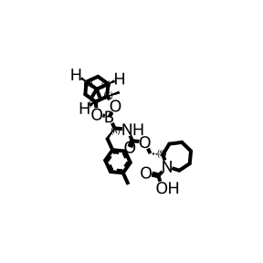 Cc1ccc(C[C@H](NC(=O)OC[C@@H]2CCCCCN2C(=O)O)B2O[C@@H]3C[C@@H]4C[C@@H](C4(C)C)[C@]3(C)O2)cc1